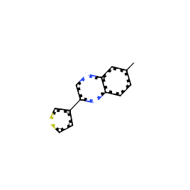 CC(=O)c1ccc2nc(-c3ccsc3)cnc2c1